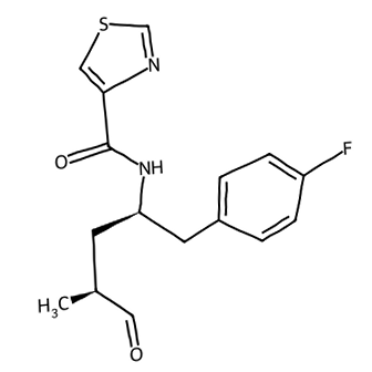 C[C@H](C=O)C[C@H](Cc1ccc(F)cc1)NC(=O)c1cscn1